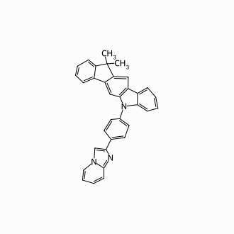 CC1(C)c2ccccc2-c2cc3c(cc21)c1ccccc1n3-c1ccc(-c2cn3ccccc3n2)cc1